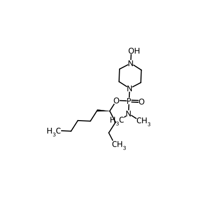 CCCCC[C@H](CCC)OP(=O)(N(C)C)N1CCN(O)CC1